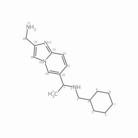 CC(NCC1CCCCC1)c1ccc2nc(CN)cn2c1